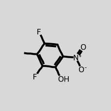 Cc1c(F)cc([N+](=O)[O-])c(O)c1F